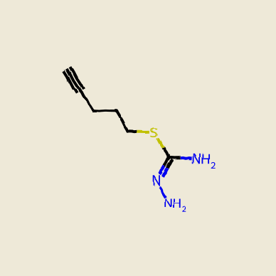 C#CCCCSC(N)=NN